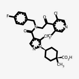 C[C@]1(C(=O)O)CC[C@@H](n2ncc(C(=O)N(CC(=O)c3c(Cl)cncc3Cl)Cc3ccc(F)cc3)c2C(F)(F)F)CC1